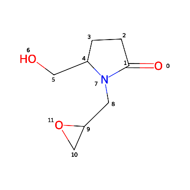 O=C1CCC(CO)N1CC1CO1